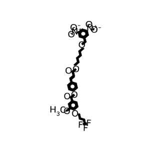 COc1cc(C(=O)Oc2ccc(C=CC(=O)OCCCCCCOCc3cc([N+](=O)[O-])cc([N+](=O)[O-])c3)cc2)ccc1OCCCC(F)(F)F